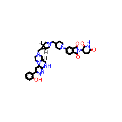 O=C1CCC(N2C(=O)c3ccc(N4CCC(CN5C[C@@H]6C(CN7CCN8c9cc(-c%10ccccc%10O)nnc9NC[C@H]8C7)[C@@H]6C5)CC4)cc3C2=O)C(=O)N1